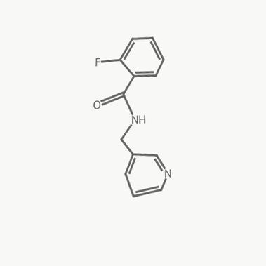 O=C(NCc1cccnc1)c1ccccc1F